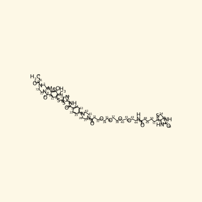 C=CC(=O)N1CCN(C(=O)c2cc(Sc3cnc(NC(=O)c4ccc(N5CCN(C(=O)CCOCCOCCOCCOCCNC(=O)CCCCC6SCC7NC(=O)NC76)CC5)cc4)s3)c(C)cc2OC)CC1